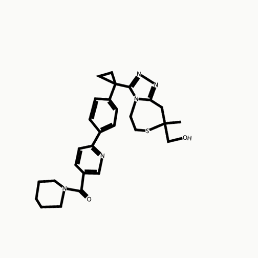 CC1(CO)Cc2nnc(C3(c4ccc(-c5ccc(C(=O)N6CCCCC6)cn5)cc4)CC3)n2CCS1